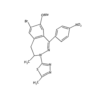 COc1cc2c(cc1Br)CC(C)N(c1nnc(C)s1)N=C2c1ccc([N+](=O)[O-])cc1